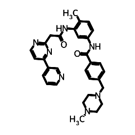 Cc1ccc(NC(=O)c2ccc(CN3CCN(C)CC3)cc2)cc1NC(=O)Cc1nccc(-c2cccnc2)n1